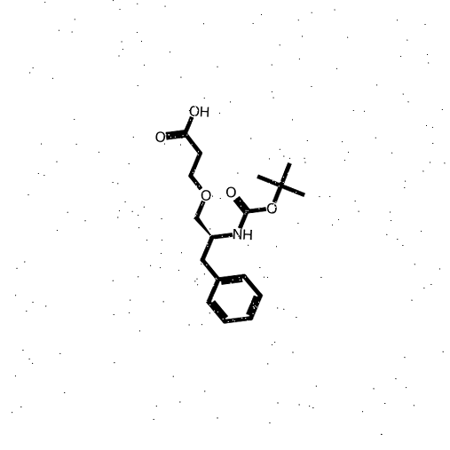 CC(C)(C)OC(=O)N[C@H](COCCC(=O)O)Cc1ccccc1